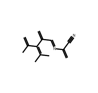 C=C(C#N)/N=C/C(=C)C(C(=C)C)=C(C)C